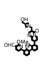 COc1nc(-c2cccc(-c3cccc(-c4ccn5c(=O)c(CN6CC(CO)C6)cnc5c4)c3Cl)c2Cl)ccc1C=O